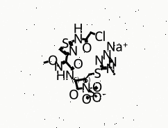 CON=C(C(=O)N[C@@H]1C(=O)N(S(=O)(=O)[O-])[C@@H]1CSc1nnnn1C)c1csc(NC(=O)CCl)n1.[Na+]